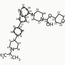 CC(C)N1CCC(c2ccc(-c3cc4c(N5CCN(C(O)OC6CCOCC6)CC5)ccnn4c3)cc2)CC1